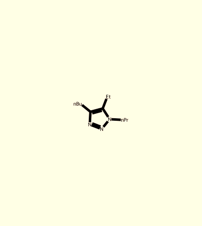 CCCCc1nnn(CCC)c1CC